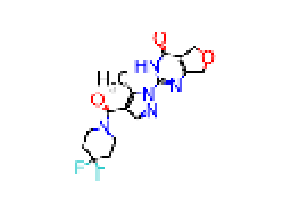 Cc1c(C(=O)N2CCC(F)(F)CC2)cnn1-c1nc2c(c(=O)[nH]1)COC2